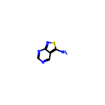 Nc1snc2ncncc12